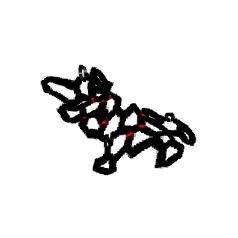 c1ccc(-c2cccc(N(c3ccccc3-c3ccc4c(c3)-c3ccccc3C43c4ccccc4Oc4ccccc43)c3ccccc3-c3ccc4c(c3)-c3ccccc3C43c4ccccc4Oc4ccccc43)c2)cc1